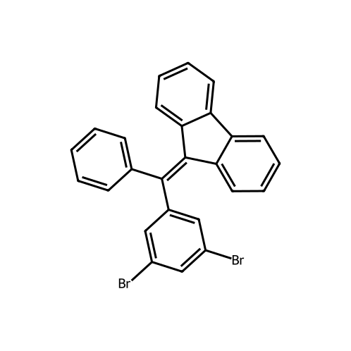 Brc1cc(Br)cc(C(=C2c3ccccc3-c3ccccc32)c2ccccc2)c1